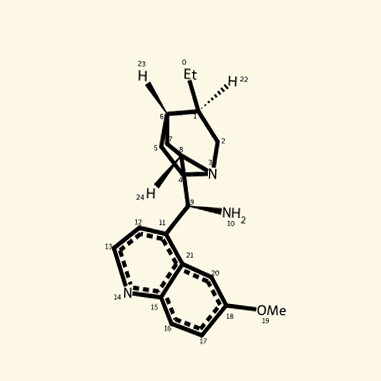 CC[C@H]1CN2CC[C@H]1C[C@H]2[C@@H](N)c1ccnc2ccc(OC)cc12